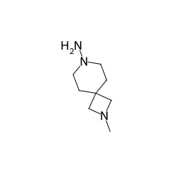 CN1CC2(CCN(N)CC2)C1